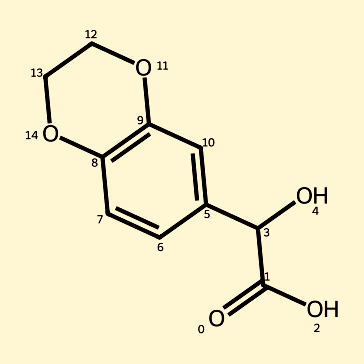 O=C(O)C(O)c1ccc2c(c1)OCCO2